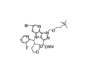 COC(=O)c1nn(COCC[Si](C)(C)C)c2c3ncc(Br)cc3n(C(c3ncccc3F)C3CCOCC3)c12